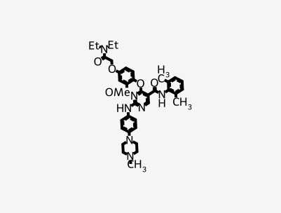 CCN(CC)C(=O)COc1ccc(Oc2nc(Nc3ccc(N4CCN(C)CC4)cc3)ncc2C(=O)Nc2c(C)cccc2C)c(OC)c1